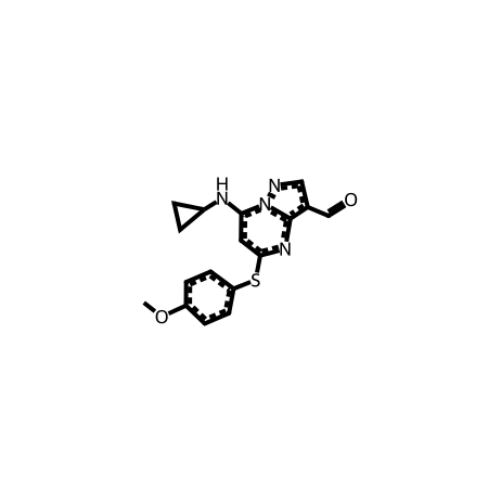 COc1ccc(Sc2cc(NC3CC3)n3ncc(C=O)c3n2)cc1